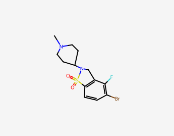 CN1CCC(N2Cc3c(ccc(Br)c3F)S2(=O)=O)CC1